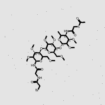 COCC1OC(NC(=O)CNC(=O)CBr)C(OC)[C@H](OC)[C@H]1O[C@@H]1OC(COC)[C@H](O[C@@H]2OC(C)[C@@H](NC(=O)CSC(C)=O)[C@@H](OC)C2OC)[C@@H](OC)C1OC